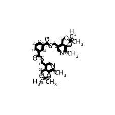 Cc1ncc(CSC(=O)c2cccc(C(=O)SCc3cnc(C)c4c3COC(C)(C)O4)c2)c2c1OC(C)(C)OC2